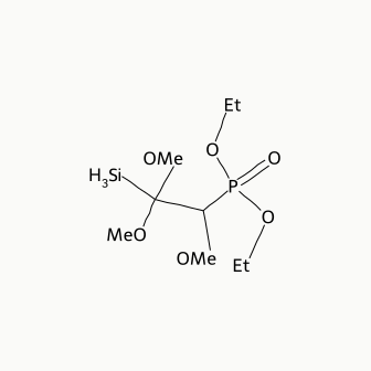 CCOP(=O)(OCC)C(OC)C([SiH3])(OC)OC